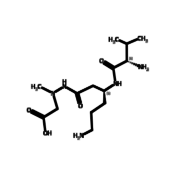 CC(C)[C@H](N)C(=O)N[C@@H](CCCN)CC(=O)NN(C)CC(=O)O